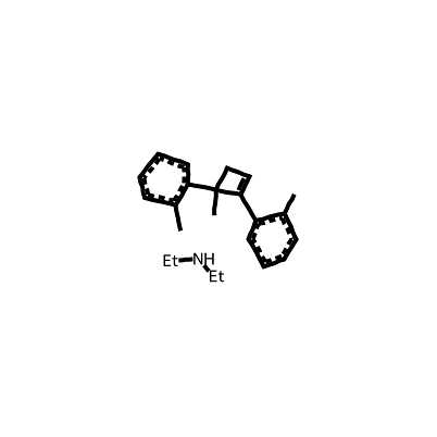 CCNCC.Cc1ccccc1C1=CCC1(C)c1ccccc1C